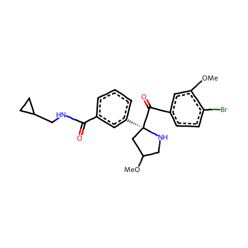 COc1cc(C(=O)[C@]2(c3cccc(C(=O)NCC4CC4)c3)CC(OC)CN2)ccc1Br